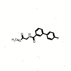 COC(=O)CNC(=O)c1cccc(-c2ccc(F)cc2)c1